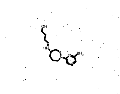 Bc1cccc(N2CCCC(NCCCCO)CC2)n1